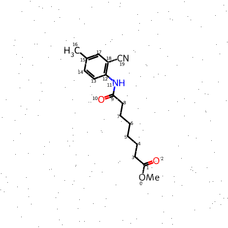 COC(=O)CCCCCCC(=O)Nc1ccc(C)cc1C#N